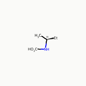 CC[C@H](C)NC(=O)O